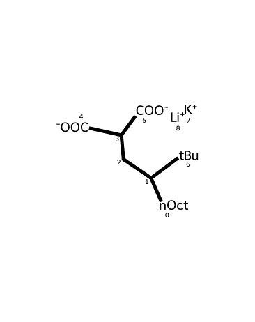 CCCCCCCCC(CC(C(=O)[O-])C(=O)[O-])C(C)(C)C.[K+].[Li+]